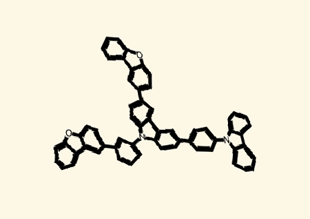 c1cc(-c2ccc3oc4ccccc4c3c2)cc(-n2c3ccc(-c4ccc(-n5c6ccccc6c6ccccc65)cc4)cc3c3cc(-c4ccc5oc6ccccc6c5c4)ccc32)c1